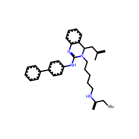 C=C(C)CC1c2ccccc2N=C(Nc2ccc(-c3ccccc3)cc2)N1CCCCCNC(=C)CC(C)(C)C